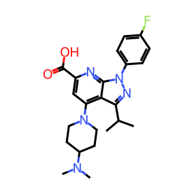 CC(C)c1nn(-c2ccc(F)cc2)c2nc(C(=O)O)cc(N3CCC(N(C)C)CC3)c12